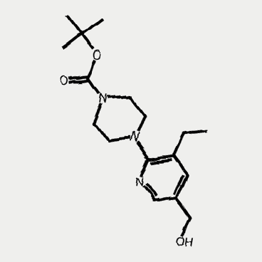 CCc1cc(CO)cnc1N1CCN(C(=O)OC(C)(C)C)CC1